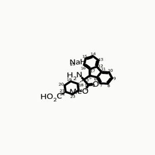 COC(=O)C(N)(C1c2ccccc2-c2ccccc21)[C@H]1CC[C@H](C(=O)O)CC1.[NaH]